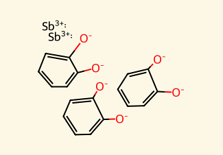 [O-]c1ccccc1[O-].[O-]c1ccccc1[O-].[O-]c1ccccc1[O-].[Sb+3].[Sb+3]